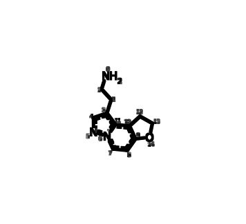 NCCc1cnn2ccc3c(c12)CCO3